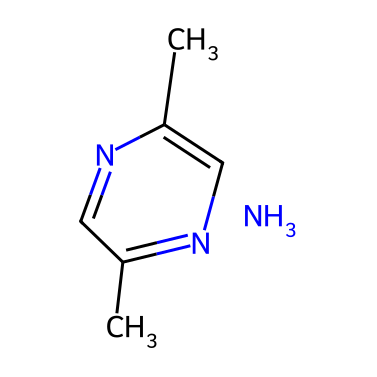 Cc1cnc(C)cn1.N